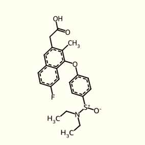 CCN(CC)[S+]([O-])c1ccc(Oc2c(C)c(CC(=O)O)cc3ccc(F)cc23)cc1